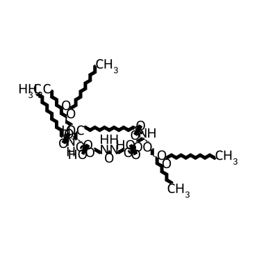 CCCCCCCCCCCCS(=O)(=O)N[C@H](COCC[C@@H](CCCCCCC)OC(=O)CCCCCCCCCCC)COP(=O)(O)OCCNC(=O)NCCOP(=O)(O)OC[C@@H](COCC[C@@H](CCCCCCC)OC(=O)CCCCCCCCCCC)NS(=O)(=O)CCCCCCCCCCCC